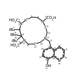 CC(C)(C)C1N(C(=O)O)CCCN(C(=O)O)CCN(Cc2ccc(O)c3ncccc23)CCCN(C(=O)O)C1(C(C)(C)C)C(C)(C)C